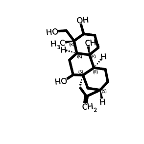 C=C1C[C@@]23C[C@@H]1CC[C@@H]2[C@@]1(C)CCC(O)[C@@](C)(CO)[C@@H]1CC3O